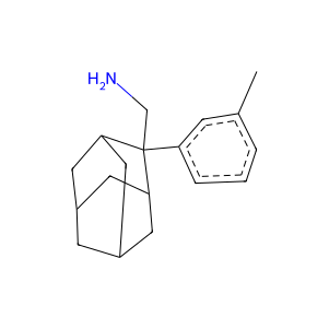 Cc1cccc(C2(CN)C3CC4CC(C3)CC2C4)c1